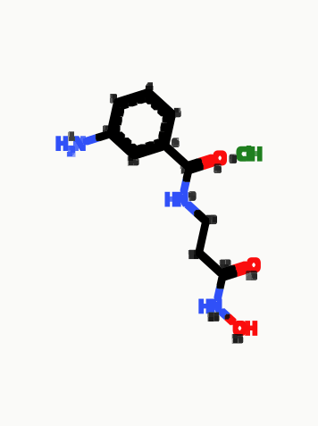 Cl.Nc1cccc(C(=O)NCCC(=O)NO)c1